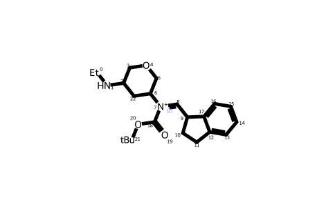 CCNC1COCC(/[N+](=C/C2CCc3ccccc32)C(=O)OC(C)(C)C)C1